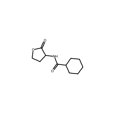 O=C(NC1CCOC1=O)C1CCCCC1